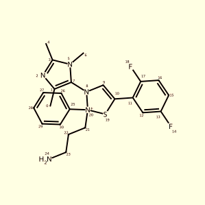 Cc1nc(C)n(C)c1N1C=C(c2cc(F)ccc2F)S[N+]1(CCCN)c1ccccc1